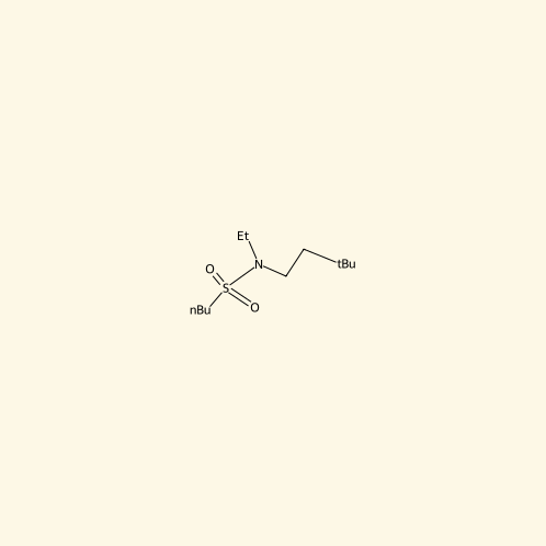 CCCCS(=O)(=O)N(CC)CCC(C)(C)C